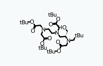 CC(C)(C)CN(CC(=O)OC(C)(C)C)[C@@H](CO)CN(CCN(CC(=O)OC(C)(C)C)CC(=O)OC(C)(C)C)CC(=O)OC(C)(C)C